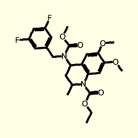 CCOC(=O)N1c2cc(OC)c(OC)cc2C(N(Cc2cc(F)cc(F)c2)C(=O)OC)CC1C